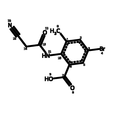 Cc1cc(Br)cc(C(=O)O)c1NC(=O)CC#N